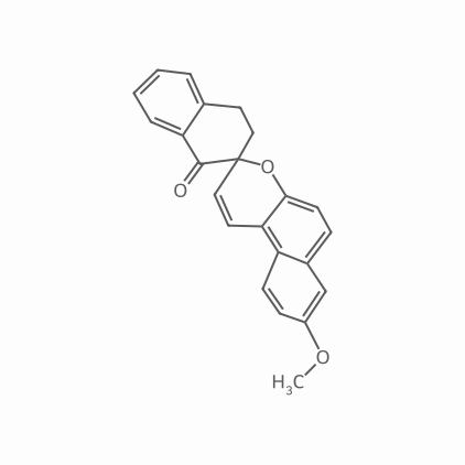 COc1ccc2c3c(ccc2c1)OC1(C=C3)CCc2ccccc2C1=O